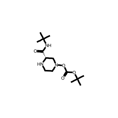 CC(C)(C)NC(=O)[C@@H]1CN(OC(=O)OC(C)(C)C)CCN1